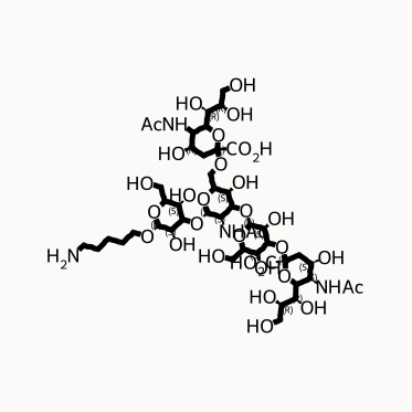 CC(=O)NC1C([C@H](O)[C@H](O)CO)O[C@@](OCC2O[C@@H](OC3[C@@H](O)C(CO)O[C@@H](OCCCCCN)[C@H]3O)[C@@H](NC(C)=O)C(O[C@@H]3OC(CO)[C@H](O)C(O[C@@]4(C(=O)O)C[C@H](O)[C@H](NC(C)=O)C([C@H](O)[C@H](O)CO)O4)[C@@H]3O)[C@@H]2O)(C(=O)O)C[C@H]1O